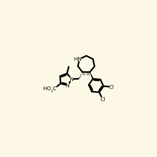 Cc1cc(C(=O)O)nn1C[C@@H]1CNCCC[C@H]1c1ccc(Cl)c(Cl)c1